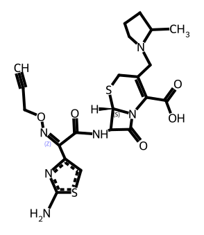 C#CCO/N=C(\C(=O)NC1C(=O)N2C(C(=O)O)=C(CN3CCCC3C)CS[C@@H]12)c1csc(N)n1